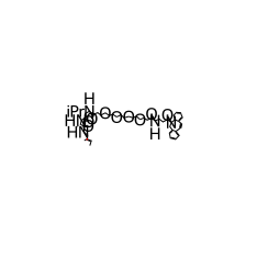 C/C=C(\C)CNC(=O)[C@H](C)NC(=O)[C@@H](NC(=O)CCOCCOCCOCCOCCC(=O)NCCC(=O)N1Cc2ccccc2C#Cc2ccccc21)C(C)C